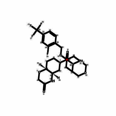 O=C1CO[C@H]2CCN(C(=O)N3C4COC[PH2]3CC(OCc3ccc(C(F)(F)F)cc3F)C4)C[C@H]2N1